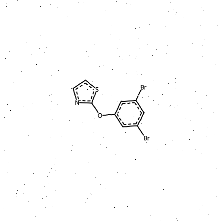 Brc1cc(Br)cc(Oc2n[c]cs2)c1